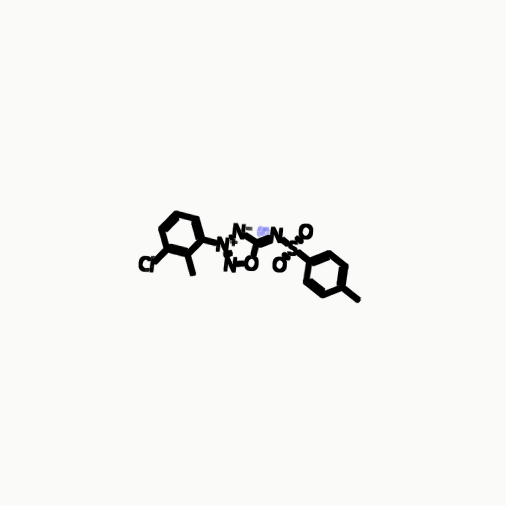 Cc1ccc(S(=O)(=O)/N=c2/[n-][n+](-c3cccc(Cl)c3C)no2)cc1